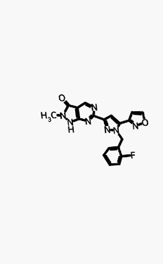 Cn1[nH]c2nc(-c3cc(-c4ccon4)n(Cc4ccccc4F)n3)ncc2c1=O